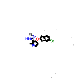 CCN(C)C(=N)c1c(OC2Cc3ccc(Br)cc3C2)ccnc1C